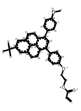 C=CC(=O)OCCOc1ccc(-c2cc(-c3ccc(OC)cc3)c3ccc4cc(C(C)(C)C)cc5ccc2c3c45)cc1